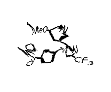 COc1cncc(-c2nc(C(F)(F)F)cn2-c2ccc(S(C)(=O)=O)cc2)c1